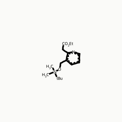 CCOC(=O)Cc1ncccc1CO[Si](C)(C)C(C)(C)C